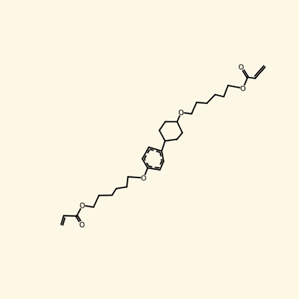 C=CC(=O)OCCCCCCOc1ccc(C2CCC(OCCCCCCOC(=O)C=C)CC2)cc1